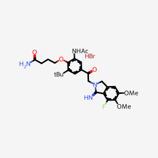 Br.COc1cc2c(c(F)c1OC)C(=N)N(CC(=O)c1cc(NC(C)=O)c(OCCCC(N)=O)c(C(C)(C)C)c1)C2